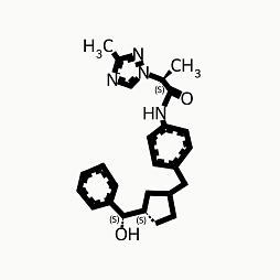 Cc1ncn([C@@H](C)C(=O)Nc2ccc(CC3CC[C@H]([C@H](O)c4ccccc4)C3)cc2)n1